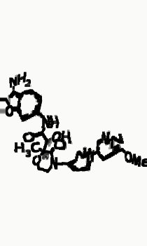 COc1cc(-n2ccc(N3CCO[C@](C)([C@@H](O)C(=O)Nc4ccc5c(N)noc5c4)C3=O)n2)cnn1